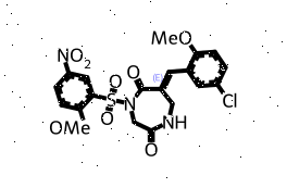 COc1ccc(Cl)cc1/C=C1\CNC(=O)CN(S(=O)(=O)c2cc([N+](=O)[O-])ccc2OC)C1=O